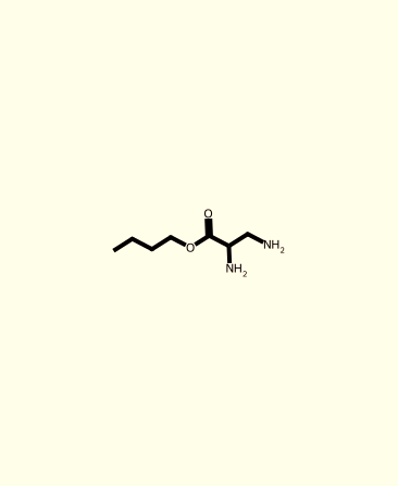 CCCCOC(=O)C(N)CN